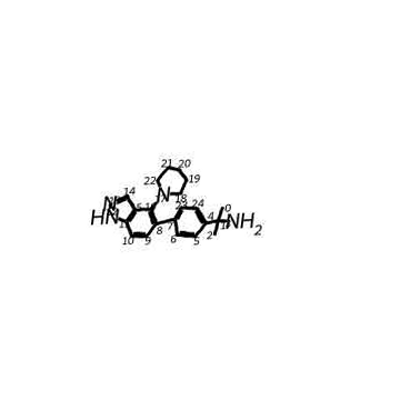 CC(C)(N)c1ccc(-c2ccc3[nH]ncc3c2N2CCCCC2)cc1